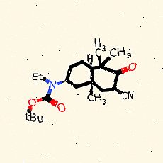 CCN(C(=O)OC(C)(C)C)[C@H]1CC[C@H]2C(C)(C)C(=O)C(C#N)C[C@]2(C)C1